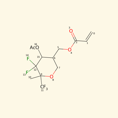 C=CC(=O)OCC1COC(C)(C(F)(F)F)C(F)(F)C1OC(C)=O